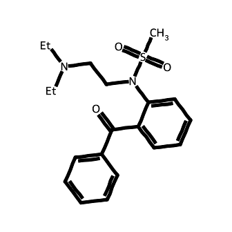 CCN(CC)CCN(c1ccccc1C(=O)c1ccccc1)S(C)(=O)=O